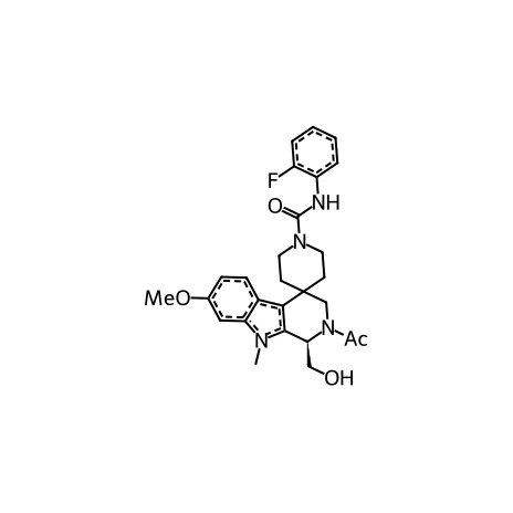 COc1ccc2c3c(n(C)c2c1)[C@H](CO)N(C(C)=O)CC31CCN(C(=O)Nc2ccccc2F)CC1